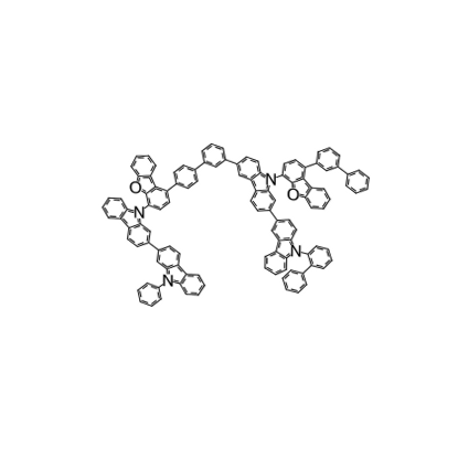 c1ccc(-c2cccc(-c3ccc(-n4c5ccc(-c6cccc(-c7ccc(-c8ccc(-n9c%10ccccc%10c%10ccc(-c%11ccc%12c%13ccccc%13n(-c%13ccccc%13)c%12c%11)cc%109)c9oc%10ccccc%10c89)cc7)c6)cc5c5ccc(-c6ccc7c(c6)c6ccccc6n7-c6ccccc6-c6ccccc6)cc54)c4oc5ccccc5c34)c2)cc1